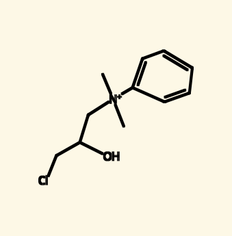 C[N+](C)(CC(O)CCl)c1ccccc1